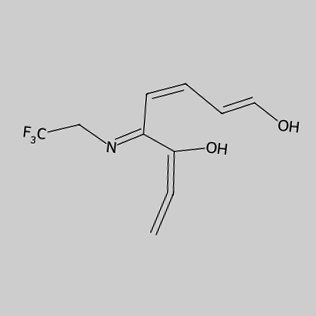 C=C=C(O)C(/C=C\C=C\O)=N/CC(F)(F)F